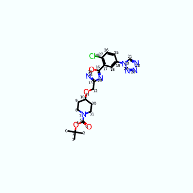 CC(C)(C)OC(=O)N1CCC(OCc2noc(-c3cc(-n4cnnn4)ccc3Cl)n2)CC1